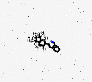 [2H]c1c([2H])c2c(c([2H])c1-c1cc3c(cn1)C1CCC3C1)C(C)(C)C(C)(C)C2(C)C